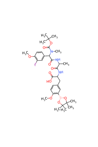 COc1ccc(C(C(=O)NC(C)C(=O)NC(Cc2ccc(OC)c(B3OC(C)(C)C(C)(C)O3)c2)C(=O)O)N(C)C(=O)OC(C)(C)C)cc1I